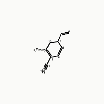 C=CC1C=CC(C#N)=C(F)C1